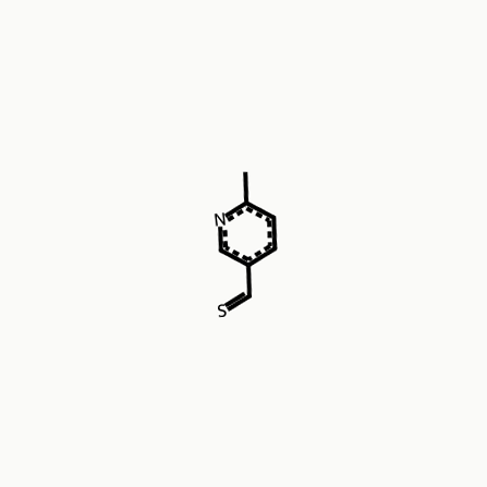 Cc1ccc(C=S)cn1